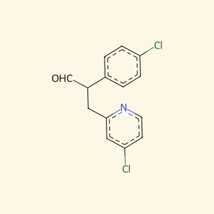 O=CC(Cc1cc(Cl)ccn1)c1ccc(Cl)cc1